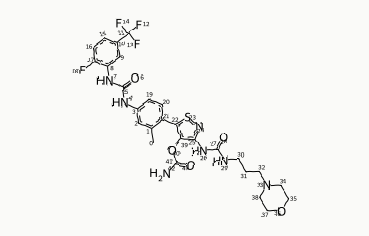 Cc1cc(NC(=O)Nc2cc(C(F)(F)F)ccc2F)ccc1-c1snc(NC(=O)NCCCN2CCOCC2)c1OC(N)=O